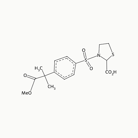 COC(=O)C(C)(C)c1ccc(S(=O)(=O)N2CCSC2C(=O)O)cc1